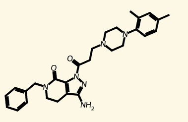 Cc1ccc(N2CCN(CCC(=O)n3nc(N)c4c3C(=O)N(Cc3ccccc3)CC4)CC2)c(C)c1